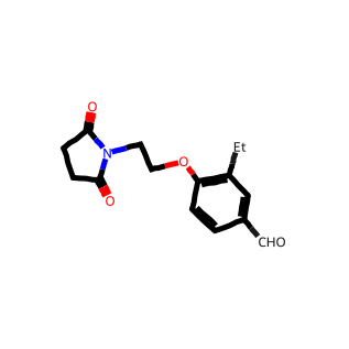 CCc1cc(C=O)ccc1OCCN1C(=O)CCC1=O